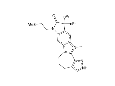 CCCC1(CCC)C(=O)N(CCSC)c2cc3c4c(n(C)c3cc21)-c1n[nH]cc1CCC4